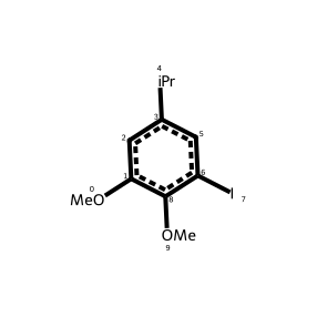 COc1cc(C(C)C)cc(I)c1OC